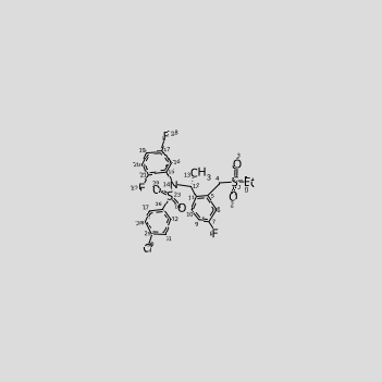 CCS(=O)(=O)Cc1cc(F)ccc1[C@@H](C)N(c1cc(F)ccc1F)S(=O)(=O)c1ccc(Cl)cc1